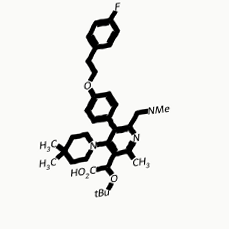 CNCc1nc(C)c(C(OC(C)(C)C)C(=O)O)c(N2CCC(C)(C)CC2)c1-c1ccc(OCCc2ccc(F)cc2)cc1